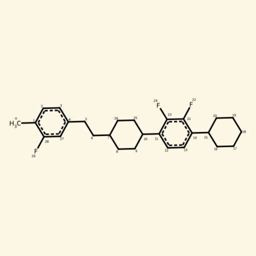 Cc1ccc(CCC2CCC(c3ccc(C4CCCCC4)c(F)c3F)CC2)cc1F